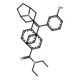 CCN(CC)C(=O)c1ccc(C(=C2CC3CCC(C2)N3Cc2ccccc2)c2cccc(O)c2)cc1